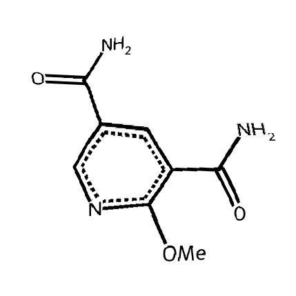 COc1ncc(C(N)=O)cc1C(N)=O